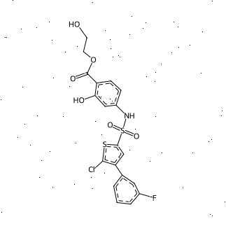 O=C(OCCO)c1ccc(NS(=O)(=O)c2cc(-c3cccc(F)c3)c(Cl)s2)cc1O